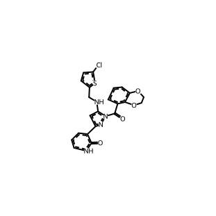 O=C(c1cccc2c1OCCO2)n1nc(-c2ccc[nH]c2=O)cc1NCc1ccc(Cl)s1